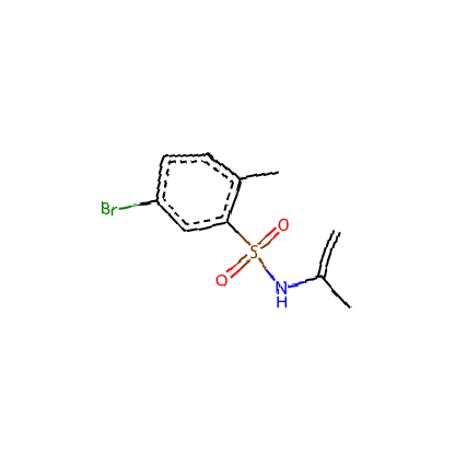 C=C(C)NS(=O)(=O)c1cc(Br)ccc1C